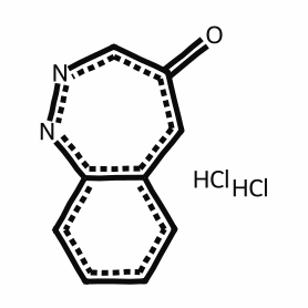 Cl.Cl.O=c1cnnc2ccccc2c1